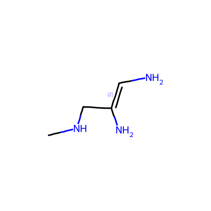 CNC/C(N)=C/N